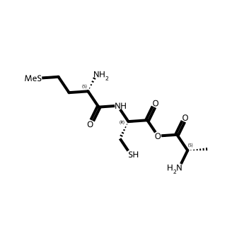 CSCC[C@H](N)C(=O)N[C@@H](CS)C(=O)OC(=O)[C@H](C)N